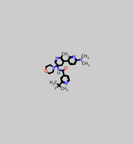 CC1=C(c2ccc(N(C)C)nc2)CC(NC(=O)c2ccnc(C(C)(C)F)c2)(N2CCOCC2)C=N1